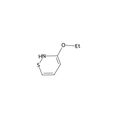 CCOC1=CC=CSN1